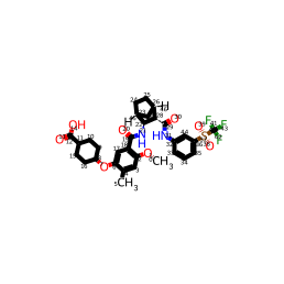 COc1cc(C)c(OC2CCC(C(=O)O)CC2)cc1C(=O)N[C@@H]1[C@H]2CC[C@H](C2)[C@@H]1C(=O)Nc1cccc(S(=O)(=O)C(F)(F)F)c1